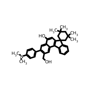 CN(C)c1ccc(-c2cc3c(O)cc4c(c3cc2CO)-c2ccccc2C42CC(C)(C)CC(C)(C)C2)cc1